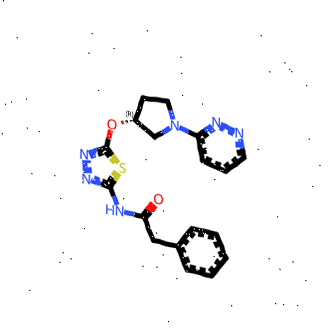 O=C(Cc1ccccc1)Nc1nnc(O[C@@H]2CCN(c3cccnn3)C2)s1